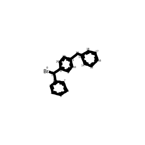 BrC(c1ccccc1)c1ccc(Cc2ccccc2)cc1